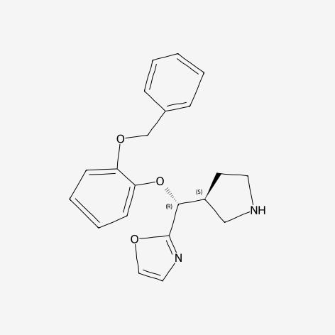 c1ccc(COc2ccccc2O[C@@H](c2ncco2)[C@H]2CCNC2)cc1